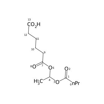 CCCC(=O)OC(C)OC(=O)CCCCC(=O)O